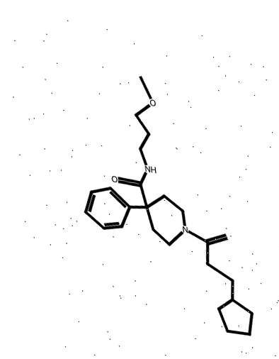 C=C(CCC1CCCC1)N1CCC(C(=O)NCCCOC)(c2ccccc2)CC1